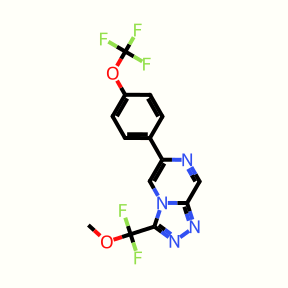 COC(F)(F)c1nnc2cnc(-c3ccc(OC(F)(F)F)cc3)cn12